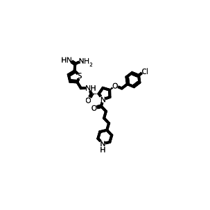 N=C(N)c1ccc(CNC(=O)[C@@H]2C[C@@H](OCc3ccc(Cl)cc3)CN2C(=O)CCCC2CCNCC2)s1